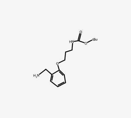 CC(C)(C)OC(=O)NCCCOc1ccccc1CN